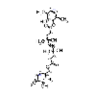 C=C(/C=C\C(=C)COC(=O)CCC(C)(C#N)N=NC(C)(C#N)CCC(=O)OCC(=C)/C=C\C(=C)CO)CO